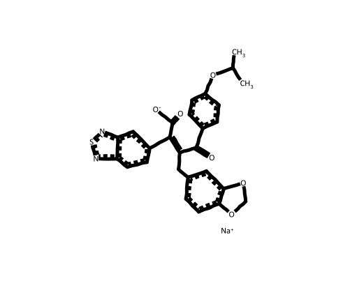 CC(C)Oc1ccc(C(=O)C(Cc2ccc3c(c2)OCO3)=C(C(=O)[O-])c2ccc3nsnc3c2)cc1.[Na+]